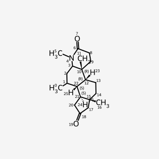 CC1CC2N(C)C(=O)CC[C@]2(C)[C@@H]2CC[C@]3(C)CC(=O)C[C@H]3[C@H]12